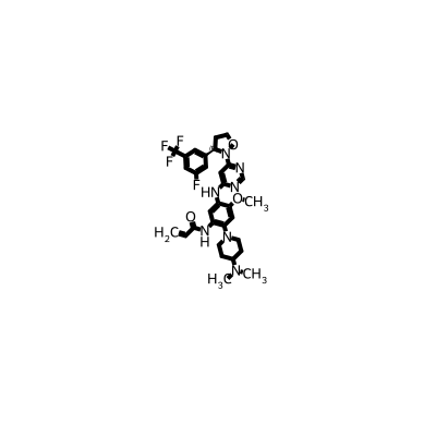 C=CC(=O)Nc1cc(Nc2cc(N3OCC[C@@H]3c3cc(F)cc(C(F)(F)F)c3)ncn2)c(OC)cc1N1CCC(N(C)C)CC1